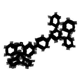 C1=CCC(c2nc(-c3ccc(-c4ccc5c(c4)Oc4ccccc4C54c5ccccc5-c5ccccc54)cc3)cc(-c3ccccc3-c3ccccc3)n2)C=C1